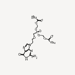 CC(C)(C)C(=O)OCOP(=O)(COCCn1cnc2c(=O)[nH]c(N)nc21)OCOC(=O)C(C)(C)C